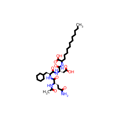 CCCCCCCCCCCCC(NC(=O)[C@H](CC(=O)O)NC(=O)[C@H](CC1CCCCC1)NC(=O)[C@H](CCC(N)=O)NC(C)=O)C(=O)O